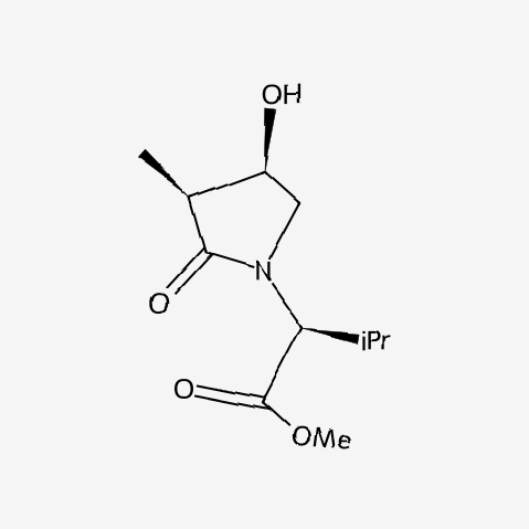 COC(=O)[C@H](C(C)C)N1C[C@H](O)[C@H](C)C1=O